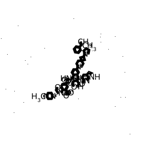 CC(C)c1ccccc1[C@@H]1CCCN1C1CC2(CCN(c3ccc(C(=O)NS(=O)(=O)c4cc5c(c([N+](=O)[O-])c4)N[C@H](CN4CCN(C)CC4)CO5)c(N4c5cc6cc[nH]c6nc5O[C@H]5COCC[C@@H]54)c3)CC2)C1